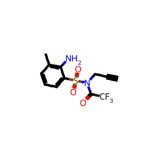 C#CCN(C(=O)C(F)(F)F)S(=O)(=O)c1cccc(C)c1N